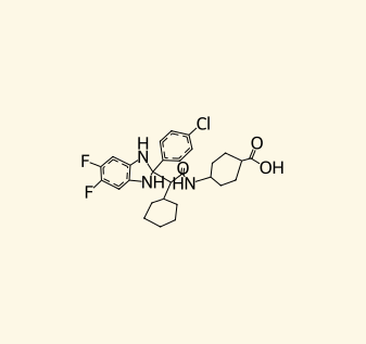 O=C(O)C1CCC(NC(=O)C(C2CCCCC2)C2(c3ccc(Cl)cc3)Nc3cc(F)c(F)cc3N2)CC1